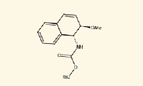 CO[C@@H]1C=Cc2ccccc2[C@H]1NC(=O)OC(C)(C)C